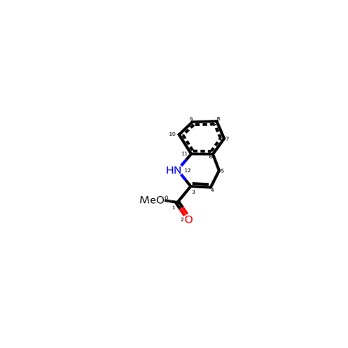 COC(=O)C1=CCc2ccccc2N1